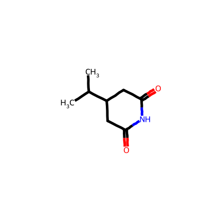 CC(C)C1CC(=O)NC(=O)C1